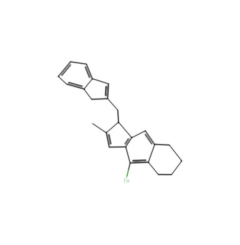 CC1=Cc2c(cc3c(c2Br)CCCC3)C1CC1=Cc2ccccc2C1